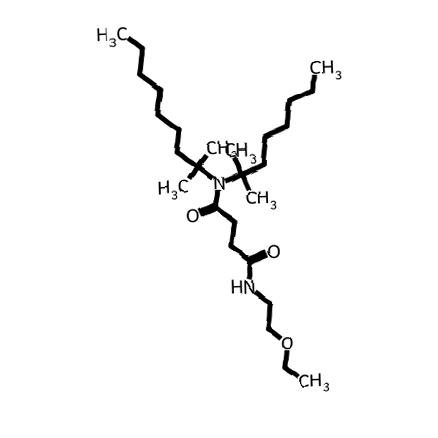 CCCCCCCC(C)(C)N(C(=O)CCC(=O)NCCOCC)C(C)(C)CCCCCC